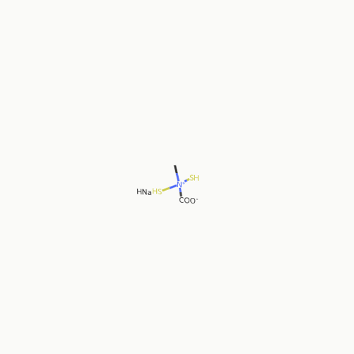 C[N+](S)(S)C(=O)[O-].[NaH]